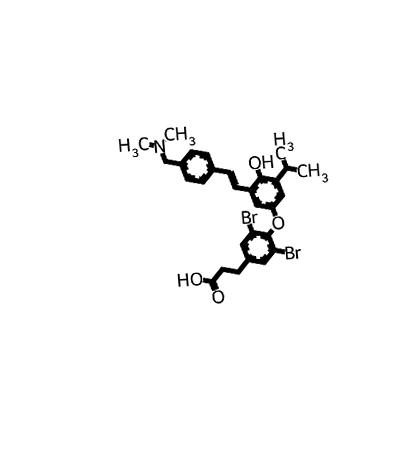 CC(C)c1cc(Oc2c(Br)cc(CCC(=O)O)cc2Br)cc(C=Cc2ccc(CN(C)C)cc2)c1O